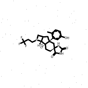 Cc1ccc(O)cc1[C@]12CC3CN(CCC(F)(F)F)[C@H]3[C@]1(O)CC[C@@]1(C2)NC(=O)NC1=O